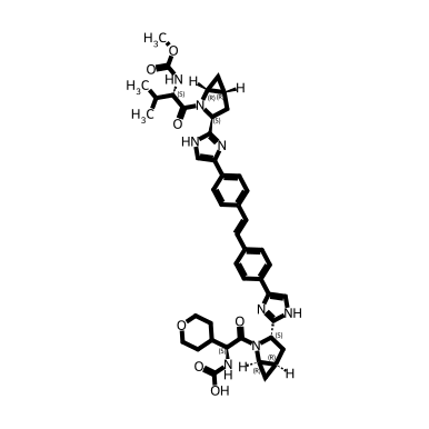 COC(=O)N[C@H](C(=O)N1[C@@H]2C[C@@H]2C[C@H]1c1nc(-c2ccc(C=Cc3ccc(-c4c[nH]c([C@@H]5C[C@H]6C[C@H]6N5C(=O)[C@@H](NC(=O)O)C5CCOCC5)n4)cc3)cc2)c[nH]1)C(C)C